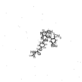 Cc1ccc(C(C)(C)C)cc1Nc1nc(N2CCC(OCC(=O)NC3CC3)CC2)nc2ncn(C)c12